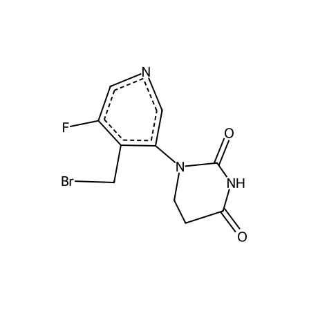 O=C1CCN(c2cncc(F)c2CBr)C(=O)N1